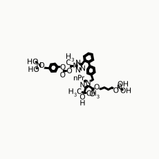 CCCc1nc(C(C)(C)O)c(C(=O)OCCCCON(O)O)n1Cc1ccc(-c2ccccc2-c2nnn(C(C)OC(=O)Oc3ccc(CON(O)O)cc3)n2)cc1